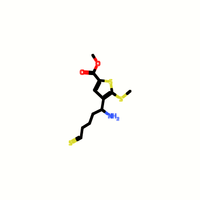 COC(=O)c1cc(C(N)CCCC=S)c(SC)s1